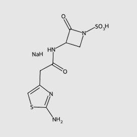 Nc1nc(CC(=O)NC2CN(S(=O)(=O)O)C2=O)cs1.[NaH]